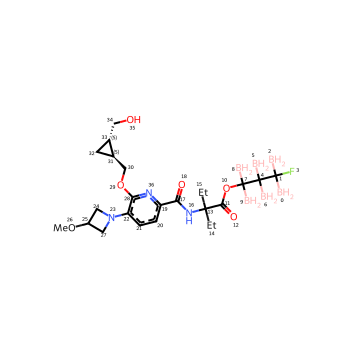 BC(B)(F)C(B)(B)C(B)(B)OC(=O)C(CC)(CC)NC(=O)c1ccc(N2CC(OC)C2)c(OC[C@H]2C[C@@H]2CO)n1